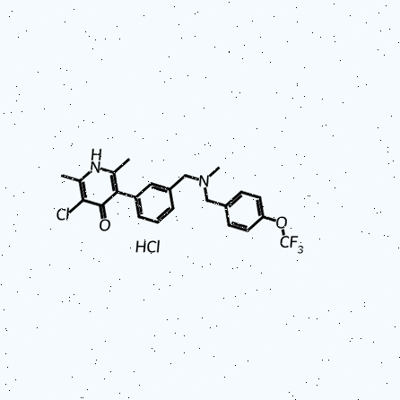 Cc1[nH]c(C)c(-c2cccc(CN(C)Cc3ccc(OC(F)(F)F)cc3)c2)c(=O)c1Cl.Cl